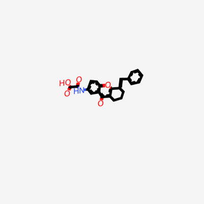 O=C(O)C(=O)Nc1ccc2oc3c(c(=O)c2c1)CCCC3=Cc1ccccc1